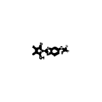 CC1=C(C)C(O)N(c2nc3ccc(OC(F)(F)F)cc3s2)C1=O